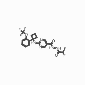 O=C(NNC(=O)C(F)F)c1cnc(NC2(c3ccccc3OC(F)(F)F)CCC2)nc1